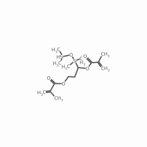 C=C(C)C(=O)OCCC(OC(=O)C(=C)C)[Si](C)(C)O[SiH](C)C